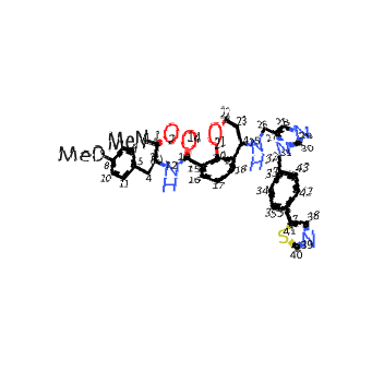 CNC(=O)[C@H](Cc1ccc(OC)cc1)NC(=O)c1cccc2c1OCCC2NCc1cncn1Cc1ccc(-c2cncs2)cc1